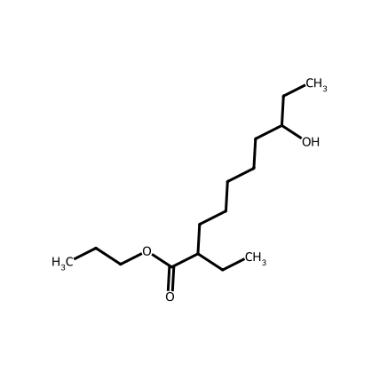 CCCOC(=O)C(CC)CCCCCC(O)CC